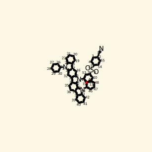 N#Cc1ccc(S(=O)(=O)c2cccc(-n3c4cc5c6ccccc6n(-c6ccccc6)c5cc4c4ccc5c6ccccc6n(-c6ccccc6)c5c43)c2)cc1